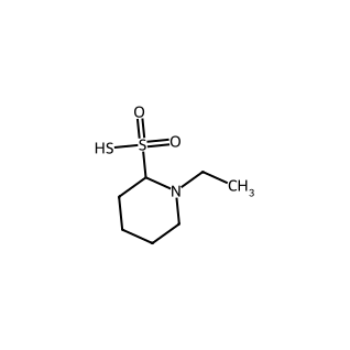 CCN1CCCCC1S(=O)(=O)S